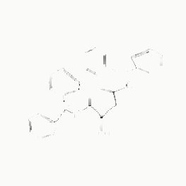 C=C(CC(=O)O[I+](c1ccccc1)c1ccccc1)C(=O)O[I+](c1ccccc1)c1ccccc1